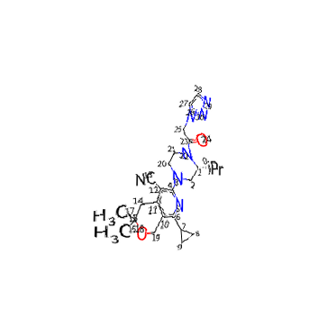 CC(C)[C@@H]1CN(c2nc(C3CC3)c3c(c2C#N)CC(C)(C)OC3)CCN1C(=O)Cn1ccnn1